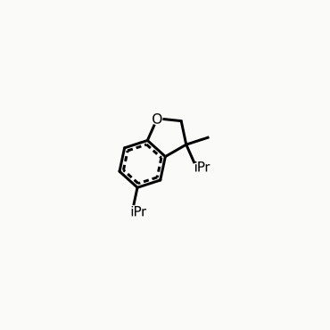 CC(C)c1ccc2c(c1)C(C)(C(C)C)CO2